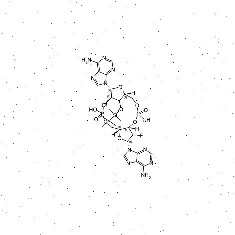 CC(C)(C)[Si](C)(C)OC1[C@H]2COP(=O)(O)O[C@@H]3C(F)[C@H](n4cnc5c(N)ncnc54)O[C@@H]3COP(=O)(O)O[C@@H]1[C@H](n1cnc3c(N)ncnc31)O2